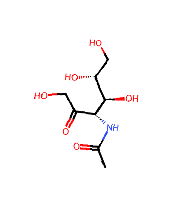 CC(=O)N[C@H](C(=O)CO)[C@H](O)[C@H](O)CO